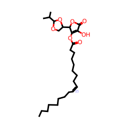 CCCCCCCC/C=C\CCCCCCCC(=O)OC1=C(O)C(=O)OC1C1COC(C(C)C)O1